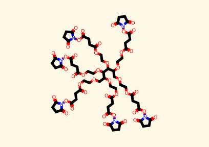 O=C(CCC(=O)ON1C(=O)CCC1=O)OCCOCC(OCCOC(=O)CCC(=O)ON1C(=O)CCC1=O)C(OCCOC(=O)CCC(=O)ON1C(=O)CCC1=O)C(OCCOC(=O)CCC(=O)ON1C(=O)CCC1=O)C(COCCOC(=O)CCC(=O)ON1C(=O)CCC1=O)OCCOC(=O)CCC(=O)ON1C(=O)CCC1=O